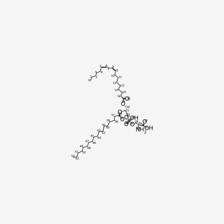 CCCCC/C=C\C/C=C\CCCCCCCC(=O)OC[C@H](COP(=O)(O)OC[C@H](N)C(=O)O)OC(=O)CCCCCCCCCCCCCCCCC